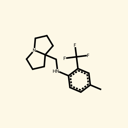 Cc1ccc(NCC23CCCN2CCC3)c(C(F)(F)F)c1